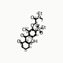 CCN(C)C(=O)COc1c(S(=O)(=O)CC)ccc(C(=O)C2=C(O)CCCC2=O)c1Cl